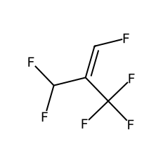 FC=C(C(F)F)C(F)(F)F